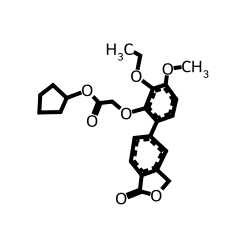 CCOc1c(OC)ccc(-c2ccc3c(c2)COC3=O)c1OCC(=O)OC1CCCC1